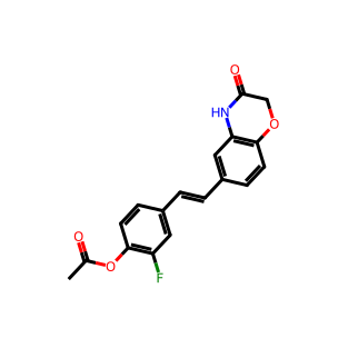 CC(=O)Oc1ccc(C=Cc2ccc3c(c2)NC(=O)CO3)cc1F